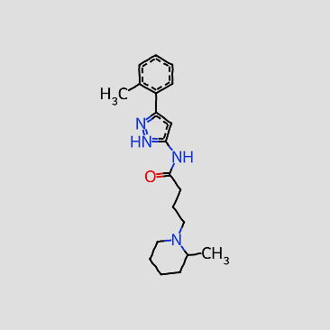 Cc1ccccc1-c1cc(NC(=O)CCCN2CCCCC2C)[nH]n1